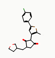 Cc1sc(-c2ccc(Cl)cc2)cc1C1C(=O)CC(CC2CCOC2)C1=O